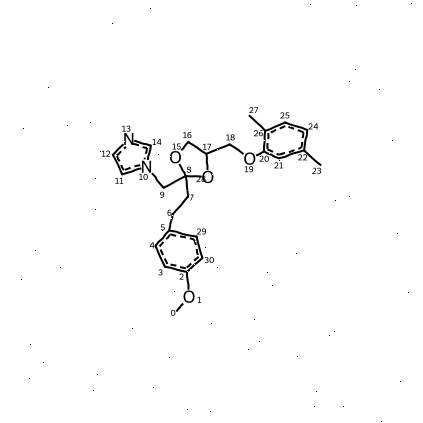 COc1ccc(CCC2(Cn3ccnc3)OCC(COc3cc(C)ccc3C)O2)cc1